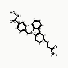 NC(=O)CCN1CCc2c(c3ccccc3n2Cc2ccc(C(=O)NO)cc2)C1